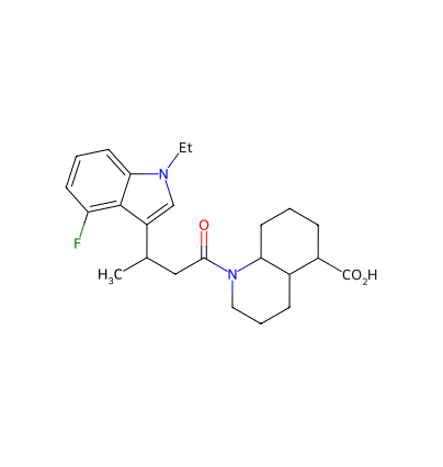 CCn1cc(C(C)CC(=O)N2CCCC3C(C(=O)O)CCCC32)c2c(F)cccc21